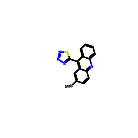 COc1ccc2nc3ccccc3c(-c3nnns3)c2c1